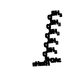 CCCCCC[SiH](O[SiH2]O[SiH2]O[SiH2]O[SiH2]O[SiH3])OC(C)=O